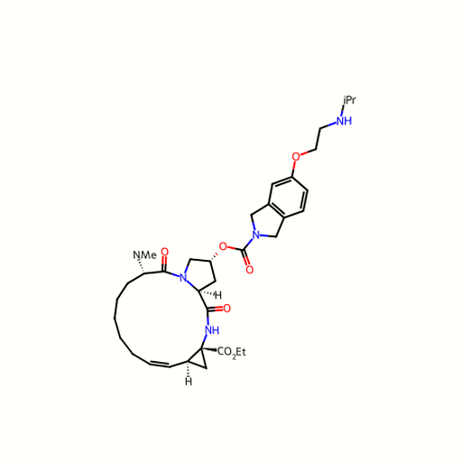 CCOC(=O)[C@@]12C[C@H]1/C=C\CCCCC[C@H](NC)C(=O)N1C[C@H](OC(=O)N3Cc4ccc(OCCNC(C)C)cc4C3)C[C@H]1C(=O)N2